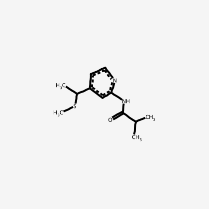 CSC(C)c1ccnc(NC(=O)C(C)C)c1